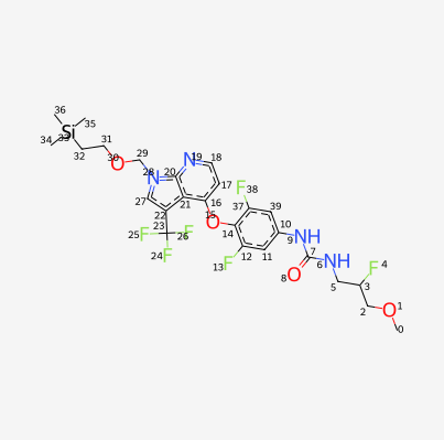 COCC(F)CNC(=O)Nc1cc(F)c(Oc2ccnc3c2c(C(F)(F)F)cn3COCC[Si](C)(C)C)c(F)c1